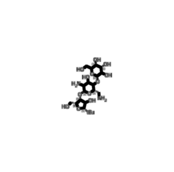 CC(C)(C)[C@@H]1O[C@H](CO)[C@H](O[C@@H]2O[C@@H](CN)C(O[C@H]3OC(CO)[C@@H](O)[C@H](O)C3O)C(O)C2N)C1O